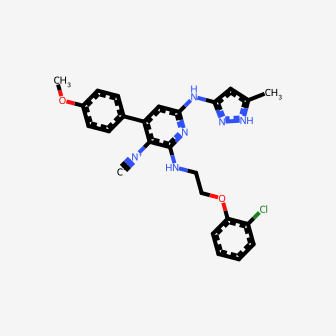 [C-]#[N+]c1c(-c2ccc(OC)cc2)cc(Nc2cc(C)[nH]n2)nc1NCCOc1ccccc1Cl